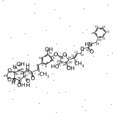 CC(=Cc1ccc(O[C@H]2O[C@@H](C(C)=CCOC(=O)NCc3ccccc3)[C@@H](O)[C@@H]2O)c(O)c1)C(=O)N[C@@H]1[C@H](O)[C@@H](O)[C@H]2OCO[C@H]2[C@@H]1O